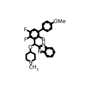 COc1ccc(-c2cc(F)c(F)c(C(OC3CCN(C)CC3)c3nc4ccccc4[nH]3)c2F)cc1